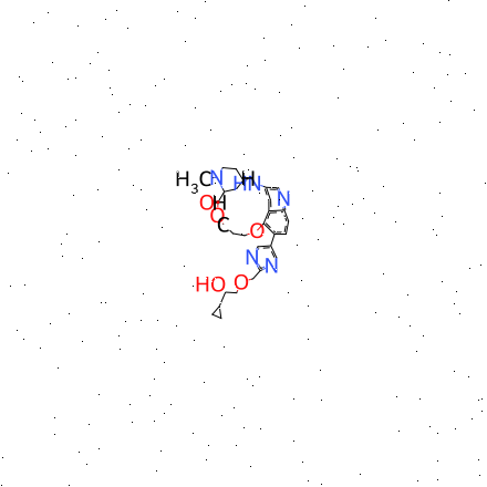 CN1CC[C@H]2C[C@H]1C(=O)OCCCOc1c(-c3cnc(COCC(O)C4CC4)nc3)ccc3ncc(cc13)N2